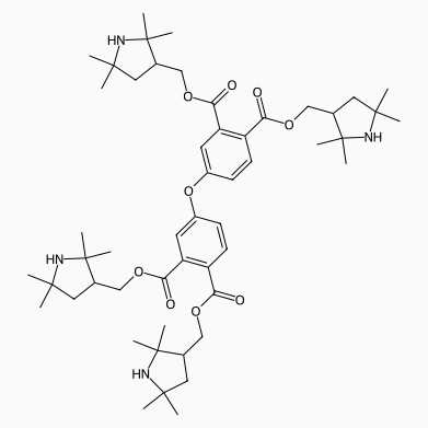 CC1(C)CC(COC(=O)c2ccc(Oc3ccc(C(=O)OCC4CC(C)(C)NC4(C)C)c(C(=O)OCC4CC(C)(C)NC4(C)C)c3)cc2C(=O)OCC2CC(C)(C)NC2(C)C)C(C)(C)N1